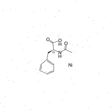 CC(=O)N[C@@H](Cc1ccccc1)C(=O)O.[Ni]